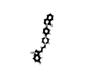 O=c1c2ccccc2ccn1-c1ccc(N2CCN(CCCc3c[nH]c4ccc(F)cc34)CC2)cc1